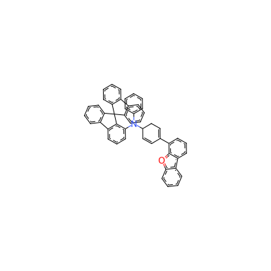 C1=CC(N(c2ccccc2)c2cccc3c2C2(c4ccccc4-c4ccccc42)c2ccccc2-3)CC=C1c1cccc2c1oc1ccccc12